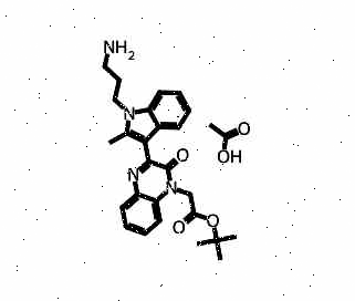 CC(=O)O.Cc1c(-c2nc3ccccc3n(CC(=O)OC(C)(C)C)c2=O)c2ccccc2n1CCCN